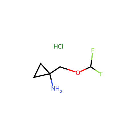 Cl.NC1(COC(F)F)CC1